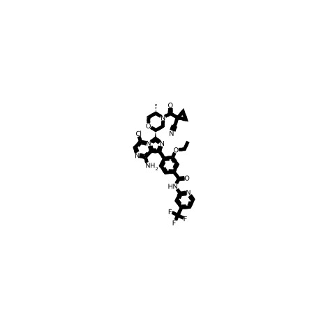 CCOc1cc(C(=O)Nc2cc(C(F)(F)F)ccn2)ccc1-c1nc([C@H]2CN(C(=O)C3(C#N)CC3)[C@@H](C)CO2)n2c(Cl)cnc(N)c12